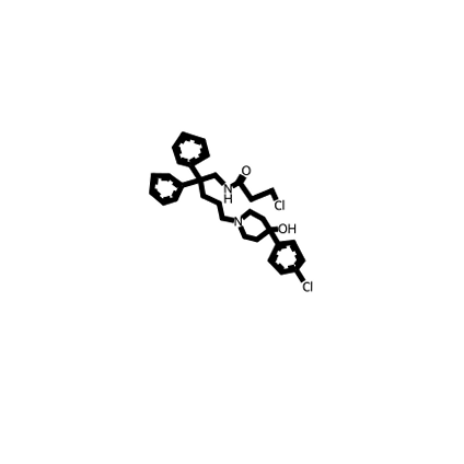 O=C(CCCl)NCC(CCCN1CCC(O)(c2ccc(Cl)cc2)CC1)(c1ccccc1)c1ccccc1